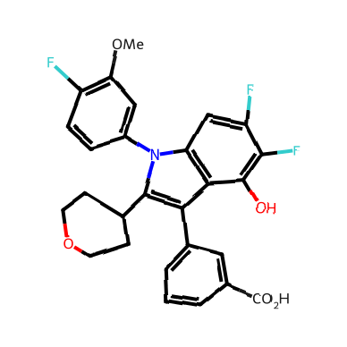 COc1cc(-n2c(C3CCOCC3)c(-c3cccc(C(=O)O)c3)c3c(O)c(F)c(F)cc32)ccc1F